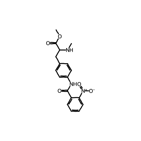 CNC(Cc1ccc(NC(=O)c2ccccc2[N+](=O)[O-])cc1)C(=O)OC